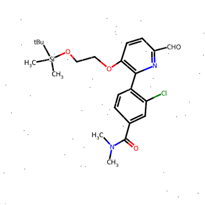 CN(C)C(=O)c1ccc(-c2nc(C=O)ccc2OCCO[Si](C)(C)C(C)(C)C)c(Cl)c1